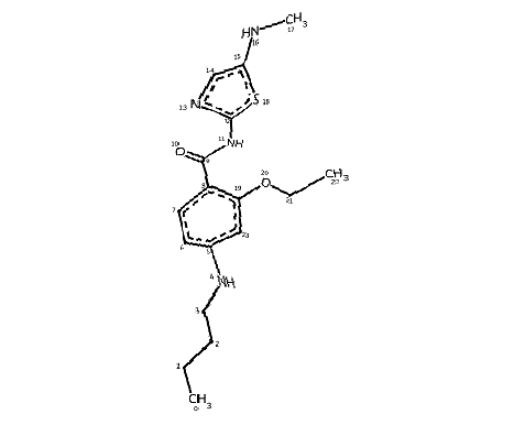 CCCCNc1ccc(C(=O)Nc2ncc(NC)s2)c(OCC)c1